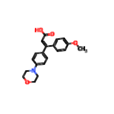 COc1ccc(/C(=C\C(=O)O)c2ccc(N3CCOCC3)cc2)cc1